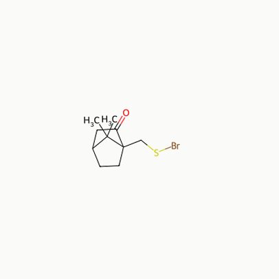 CC1(C)C2CCC1(CSBr)C(=O)C2